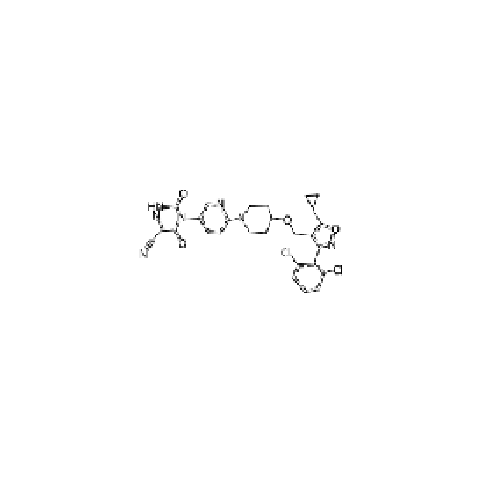 N#Cc1n[nH]c(=O)n(-c2ccc(N3CCC(OCc4c(-c5c(Cl)cccc5Cl)noc4C4CC4)CC3)nc2)c1=O